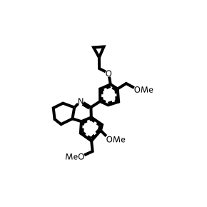 COCc1cc2c(cc1OC)C(c1ccc(COC)c(OCC3CC3)c1)=NC1CCCCC21